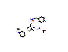 CC(C)(C)OC(=O)N1CC2(C1)CN(c1cccc3ncsc13)CC2c1nnc(Cc2ccc(Cl)c(Cl)c2)o1